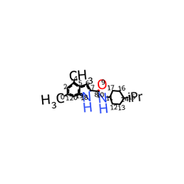 Cc1cc(C)c2cc(C(=O)NC3CCC(C(C)C)CC3)[nH]c2c1